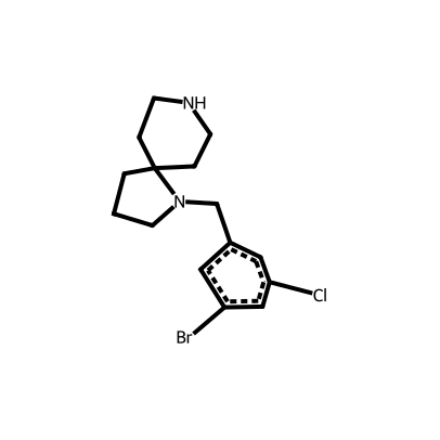 Clc1cc(Br)cc(CN2CCCC23CCNCC3)c1